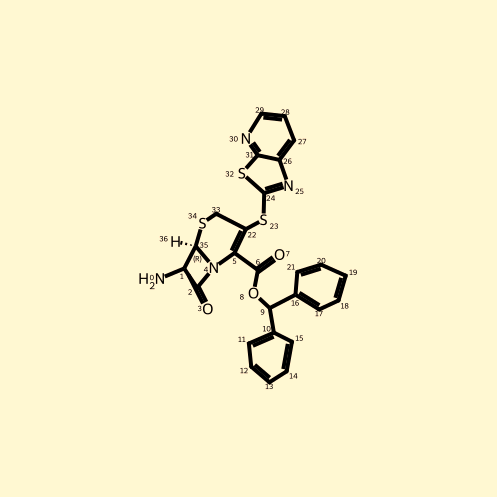 NC1C(=O)N2C(C(=O)OC(c3ccccc3)c3ccccc3)=C(Sc3nc4cccnc4s3)CS[C@H]12